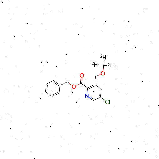 [2H]C([2H])([2H])OCc1cc(Cl)cnc1C(=O)OCc1ccccc1